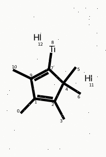 CC1=C(C)C(C)(C)[C]([Ti])=C1C.I.I